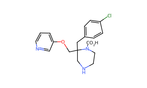 O=C(O)N1CCNCC1(COc1cccnc1)Cc1ccc(Cl)cc1